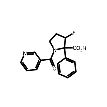 O=C(c1cccnc1)N1CCC(F)C1(C(=O)O)c1ccccc1